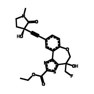 CCOC(=O)c1nc2c(s1)C(O)(CF)COc1ccc(C#C[C@]3(O)CCN(C)C3=O)cc1-2